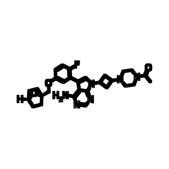 CC(=O)N1CCN(C2CC(n3cc(-c4cc(OC[C@]56CC[C@H](CC5)O6)ccc4F)c4c(N)ncnc43)C2)CC1